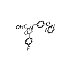 O=CC1OC(c2ccc(F)cc2)CN1Cc1ccc(Oc2ncccn2)cc1